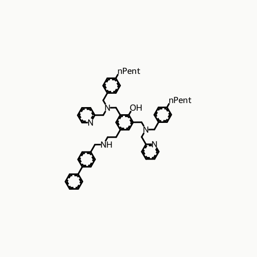 CCCCCc1ccc(CN(Cc2ccccn2)Cc2cc(CCNCc3ccc(-c4ccccc4)cc3)cc(CN(Cc3ccc(CCCCC)cc3)Cc3ccccn3)c2O)cc1